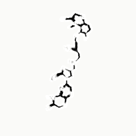 Cn1c(=O)cnc2ccc(F)c(OCC(O)CNC[C@H]3CN(c4cnc5c(n4)NC(=O)CO5)C(=O)O3)c21